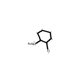 CC(=O)NC1CCCCC1Cl